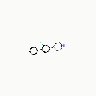 Fc1cc(N2CCNCC2)ccc1-c1ccccc1